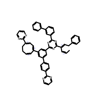 C/C=C\C(=C/Cc1ccccc1)c1nc(-c2cccc(-c3ccccc3)c2)nc(-c2cc(C3=C/C=C(/c4ncccn4)CC/C=C\3)cc(-c3ccc(-c4ncccn4)cc3)c2)n1